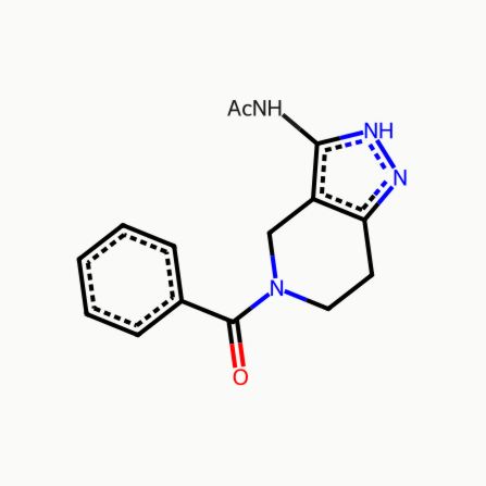 CC(=O)Nc1[nH]nc2c1CN(C(=O)c1ccccc1)CC2